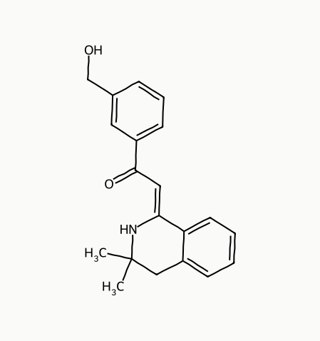 CC1(C)Cc2ccccc2C(=CC(=O)c2cccc(CO)c2)N1